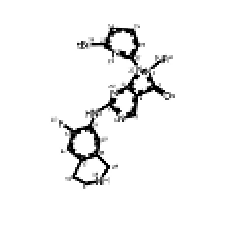 CC(C)n1c(=O)c2cnc(Nc3cc4c(cc3F)CCNC4)nc2n1-c1cccc(C(C)(C)C)n1